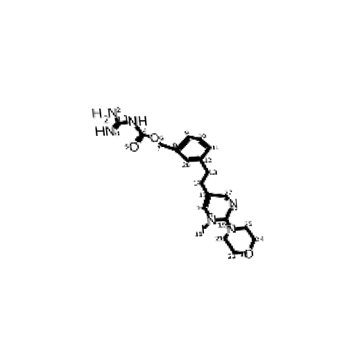 N=C(N)NC(=O)OCc1cccc(CCC2=CN(I)C(N3CCOCC3)N=C2)c1